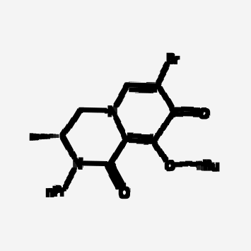 CCCCOc1c2n(cc(Br)c1=O)C[C@@H](C)N(CCC)C2=O